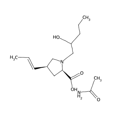 CC(N)=O.CC=C[C@@H]1C[C@H](C(=O)O)N(CC(O)CCC)C1